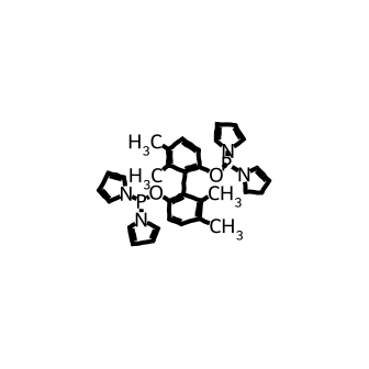 Cc1ccc(OP(N2C=CCC2)n2cccc2)c(-c2c(OP(n3cccc3)n3cccc3)ccc(C)c2C)c1C